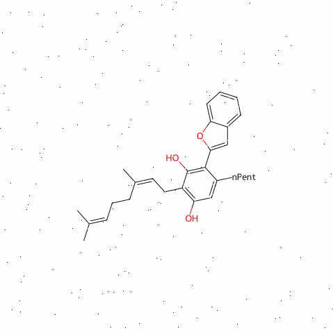 CCCCCc1cc(O)c(CC=C(C)CCC=C(C)C)c(O)c1-c1cc2ccccc2o1